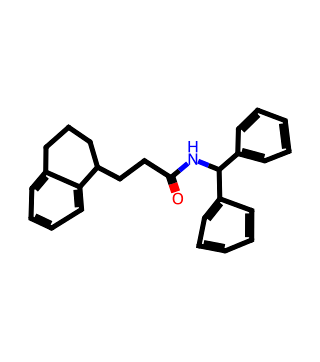 O=C(CCC1CCCc2ccccc21)NC(c1ccccc1)c1ccccc1